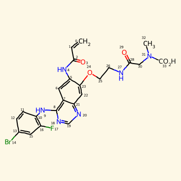 C=CC(=O)Nc1cc2c(Nc3ccc(Br)cc3F)ncnc2cc1OCCNC(=O)CN(C)C(=O)O